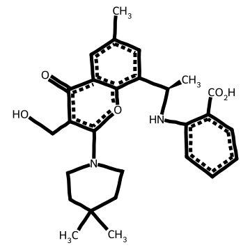 Cc1cc([C@@H](C)Nc2ccccc2C(=O)O)c2oc(N3CCC(C)(C)CC3)c(CO)c(=O)c2c1